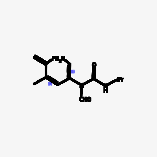 C=C(F)/C(C)=C\C(=C/N)N(C=O)C(=O)NC(C)C